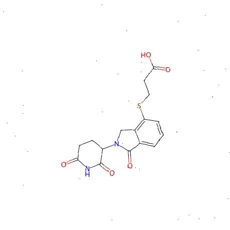 O=C(O)CCSc1cccc2c1CN(C1CCC(=O)NC1=O)C2=O